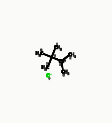 [CH3][Ge+]([CH3])[C](C)(C)C.[Cl-]